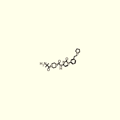 CC(C)(N)C(=O)N1CCN(C(=O)Nc2ccn(-c3cccc(CCN4CCCC4)c3)c(=O)n2)CC1